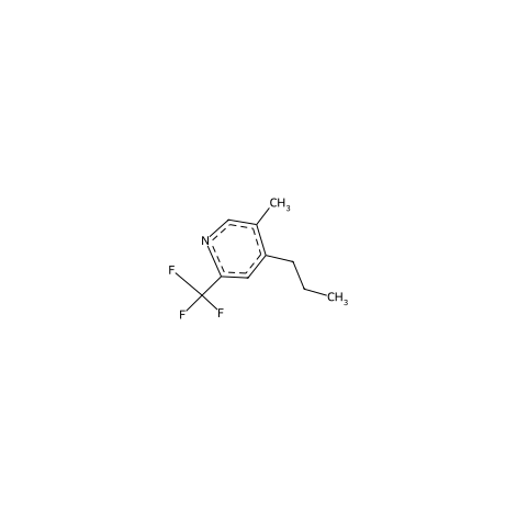 CCCc1cc(C(F)(F)F)ncc1C